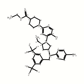 Bc1cnc(N(Cc2cc(C(F)(F)F)cc(C(F)(F)F)c2)[C@H]2C[C@@H](CC)N(c3nc(N4CCC(C(=O)OCC)CC4)ncc3Cl)C2)nc1